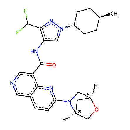 C[C@H]1CC[C@H](n2cc(NC(=O)c3cncc4ccc(N5C[C@@H]6C[C@H]5CO6)nc34)c(C(F)F)n2)CC1